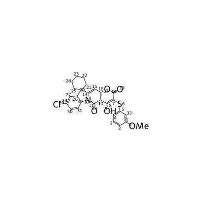 COc1cccc(Sc2c(O)c3c(=O)n4c(cc3oc2=O)C2(CCCCC2)C2C=C(Cl)C=CC24)c1